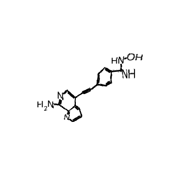 N=C(NO)c1ccc(C#Cc2cnc(N)c3ncccc23)cc1